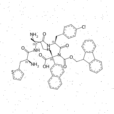 C[C@H](NC(=O)[C@@H](N)Cc1cccs1)C(=O)N[C@@H](Cc1ccc(Cl)cc1)C(=O)N(C(=O)OCC1c2ccccc2-c2ccccc21)[C@@](CCCCN)(C(=O)O)c1ccc2ccccc2c1